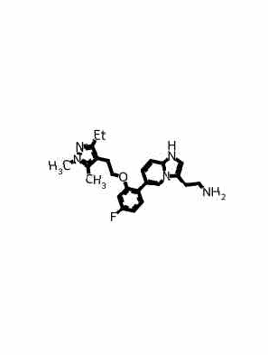 CCc1nn(C)c(C)c1CCOc1cc(F)ccc1C1=CN2C(CCN)=CNC2C=C1